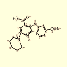 COc1ccc2c(c1)[nH]c1c(C(N)=O)cc(N3CCCCC3)nc12